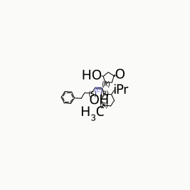 CC(C)C1CC[C@@H](C)C[C@H]1/C(=C\[C@@H](O)CCc1ccccc1)[C@H]1CC(=O)CC1O